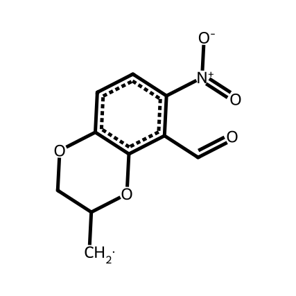 [CH2]C1COc2ccc([N+](=O)[O-])c(C=O)c2O1